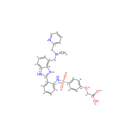 CN(Cc1ccccn1)Cc1cccc2[nH]c(-c3ccccc3NS(=O)(=O)c3ccc(OCC(=O)O)cc3)nc12